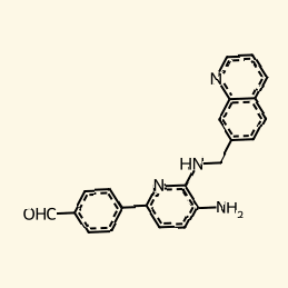 Nc1ccc(-c2ccc(C=O)cc2)nc1NCc1ccc2cccnc2c1